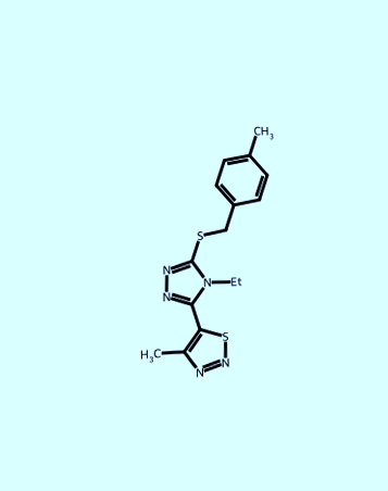 CCn1c(SCc2ccc(C)cc2)nnc1-c1snnc1C